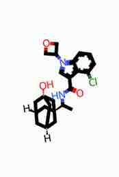 CC(NC(=O)c1cn(C2COC2)c2cccc(Cl)c12)[C@@]12C[C@@H]3C[C@@H](C[C@@](O)(C3)C1)C2